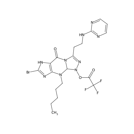 CCCCCN1c2nc(Br)[nH]c2C(=O)N2C(CCNc3ncccn3)=NN(OC(=O)C(F)(F)F)C21